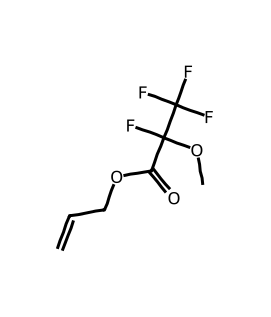 C=CCOC(=O)C(F)(OC)C(F)(F)F